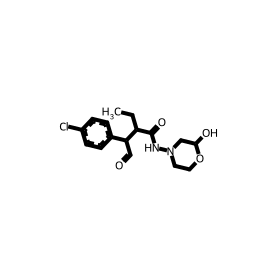 CCC(C(=O)NN1CCOC(O)C1)C(C=O)c1ccc(Cl)cc1